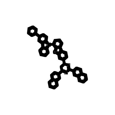 c1ccc(-c2ccc3c(c2)c2ccccc2n3-c2cccc3c2oc2cc(C4CC(c5ccc6ccccc6c5)=NC(c5ccc6ccccc6c5)=N4)ccc23)cc1